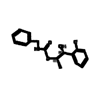 C[C@@H](OC(=O)NCc1ccccc1)[C@H](O)c1ccccc1Cl